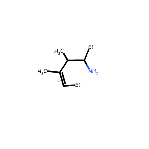 CC/C=C(/C)C(C)C(N)CC